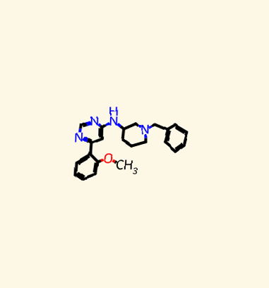 COc1ccccc1-c1cc(NC2CCCN(Cc3ccccc3)C2)ncn1